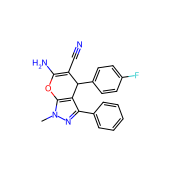 Cn1nc(-c2ccccc2)c2c1OC(N)=C(C#N)C2c1ccc(F)cc1